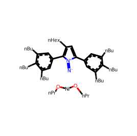 CCCCCCC1=C(c2cc(CCCC)c(CCCC)c(CCCC)c2)[N+](=[N-])C(c2cc(CCCC)c(CCCC)c(CCCC)c2)=C1.CCC[O][Ni][O]CCC